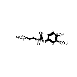 O=C(NCCS(=O)(=O)O)Nc1ccc(O)c(C(=O)O)c1